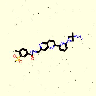 Cc1ccc(C(=O)NCc2cc3nc(-c4cccc(N5CC(C)(N)C5)n4)ccc3cn2)cc1S(C)(=O)=O